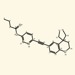 CCCC(=O)Oc1ccc(C#Cc2ccc3c(c2)C(CC)(CC)CCO3)nn1